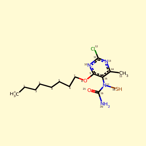 CCCCCCCCOc1nc(Cl)nc(C)c1N(S)C(N)=O